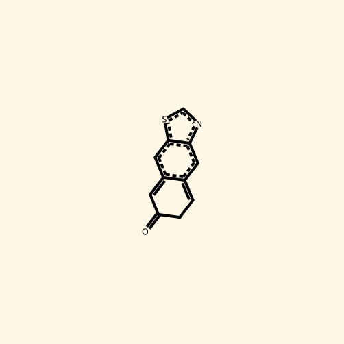 O=C1C=c2cc3scnc3cc2=CC1